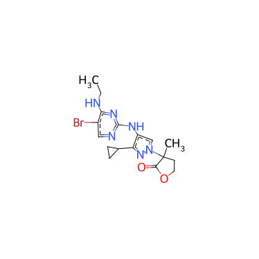 CCNc1nc(Nc2cn(C3(C)CCOC3=O)nc2C2CC2)ncc1Br